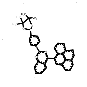 CC1(C)OB(c2ccc(-c3nc(-c4cc5cccc6ccc7cccc4c7c65)c4ccccc4n3)cc2)OC1(C)C